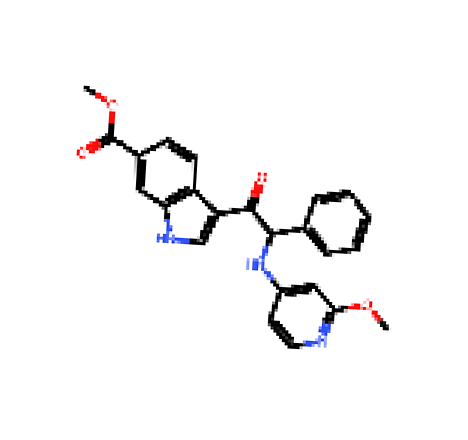 COC(=O)c1ccc2c(C(=O)C(Nc3ccnc(OC)c3)c3ccccc3)c[nH]c2c1